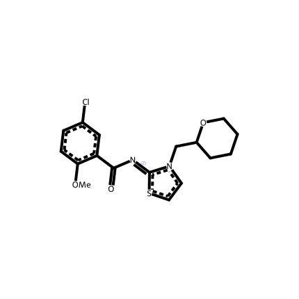 COc1ccc(Cl)cc1C(=O)/N=c1\sccn1CC1CCCCO1